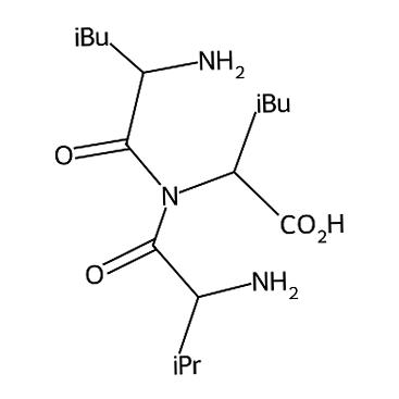 CCC(C)C(N)C(=O)N(C(=O)C(N)C(C)C)C(C(=O)O)C(C)CC